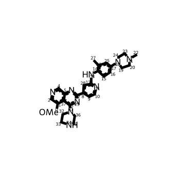 COc1cncc2nc(-c3ccnc(Nc4ccc(N5CCN(C)CC5)cc4C)c3)nc(N3CCNCC3)c12